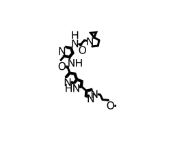 COCCCn1cc(-c2cc3cc(C(=O)Nc4cc(NC(=O)CN5CCCC56CC6)cnc4C)cnc3[nH]2)cn1